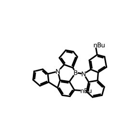 CCCCc1ccc2c3ccccc3n(B3c4ccccc4-n4c5ccccc5c5ccc(CCCC)c3c54)c2c1